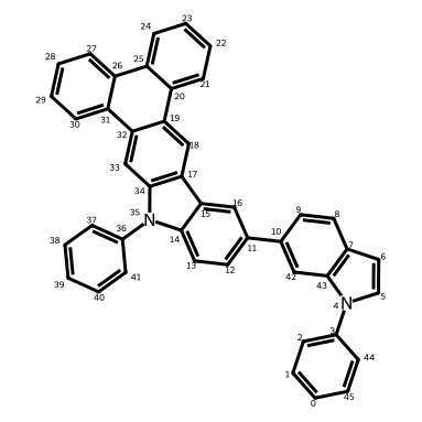 c1ccc(-n2ccc3ccc(-c4ccc5c(c4)c4cc6c7ccccc7c7ccccc7c6cc4n5-c4ccccc4)cc32)cc1